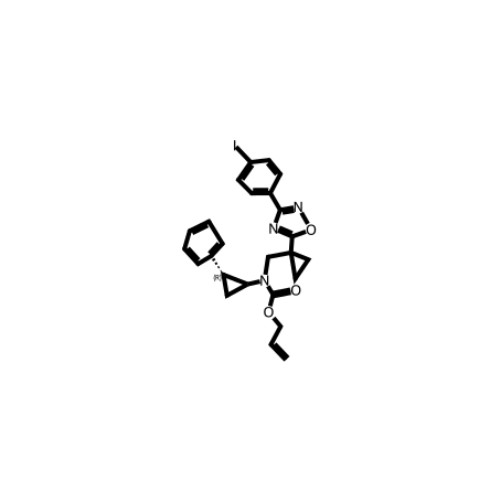 C=CCOC(=O)N(CC1(c2nc(-c3ccc(I)cc3)no2)CC1)C1C[C@@H]1c1ccccc1